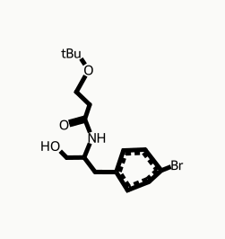 CC(C)(C)OCCC(=O)NC(CO)Cc1ccc(Br)cc1